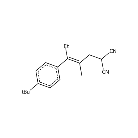 CC/C(=C(/C)CC(C#N)C#N)c1ccc(C(C)(C)C)cc1